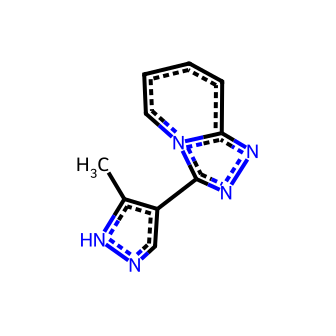 Cc1[nH]ncc1-c1nnc2ccccn12